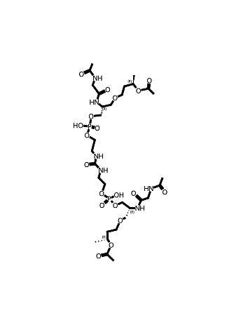 CC(=O)NCC(=O)N[C@H](COCC[C@@H](C)OC(C)=O)COP(=O)(O)OCCNC(=O)NCCOP(=O)(O)OC[C@@H](COCC[C@@H](C)OC(C)=O)NC(=O)CNC(C)=O